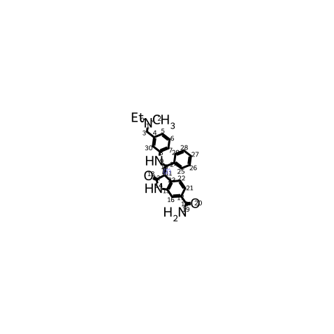 CCN(C)Cc1cccc(N/C(=C2\C(=O)Nc3cc(C(N)=O)ccc32)c2ccccc2)c1